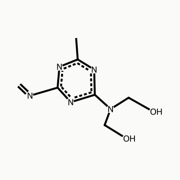 C=Nc1nc(C)nc(N(CO)CO)n1